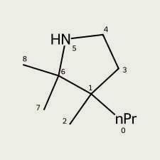 CCCC1(C)CCNC1(C)C